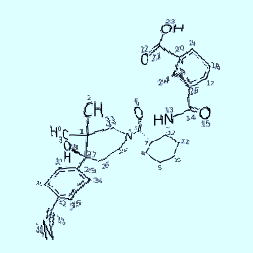 CC1(C)CN(C(=O)[C@H]2CCCC[C@H]2NC(=O)c2cccc(C(=O)O)c2)CC[C@]1(O)c1ccc(C#N)cc1